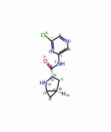 O=C(Nc1cncc(Cl)n1)[C@@H]1C[C@H]2CC2N1